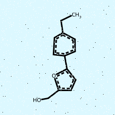 CCc1ccc(-c2ccc(CO)o2)cc1